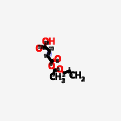 C=CCOC(C)OC(=O)/C=C/C(=O)O